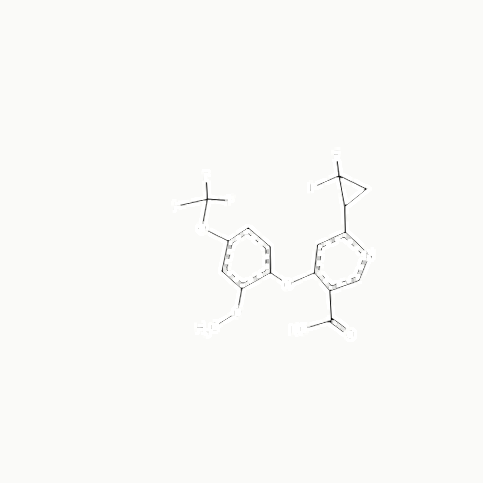 COc1cc(OC(F)(F)F)ccc1Oc1cc(C2CC2(F)F)ncc1C(=O)O